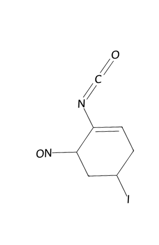 O=C=NC1=CCC(I)CC1N=O